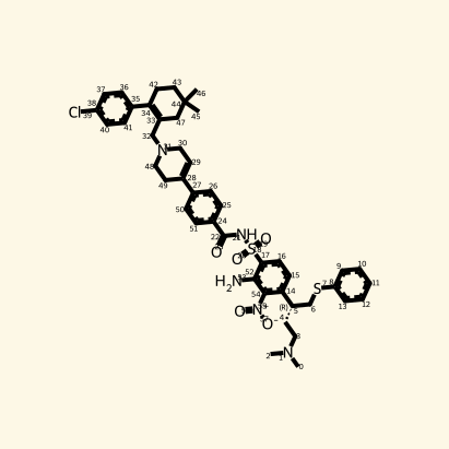 CN(C)CC[C@@H](CSc1ccccc1)c1ccc(S(=O)(=O)NC(=O)c2ccc(C3=CCN(CC4=C(c5ccc(Cl)cc5)CCC(C)(C)C4)CC3)cc2)c(N)c1[N+](=O)[O-]